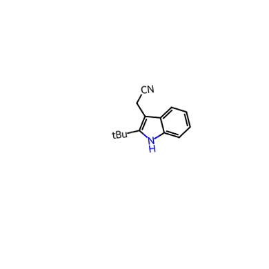 CC(C)(C)c1[nH]c2ccccc2c1CC#N